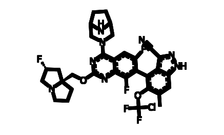 Cc1cc2[nH]nc(C#N)c2c(-c2c(F)cc3c(N4CC5CCC(C4)N5)nc(OC[C@@]45CCCN4C[C@H](F)C5)nc3c2F)c1OC(F)(F)Cl